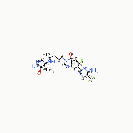 CCC(CCCn1cnc2cc(-c3ncc(C(F)F)c(N)n3)c(F)cc2c1=O)Nc1cn[nH]c(=O)c1C(F)(F)F